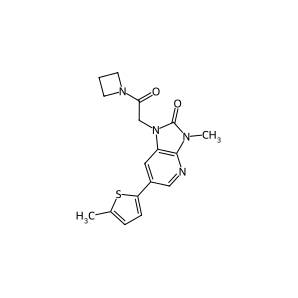 Cc1ccc(-c2cnc3c(c2)n(CC(=O)N2CCC2)c(=O)n3C)s1